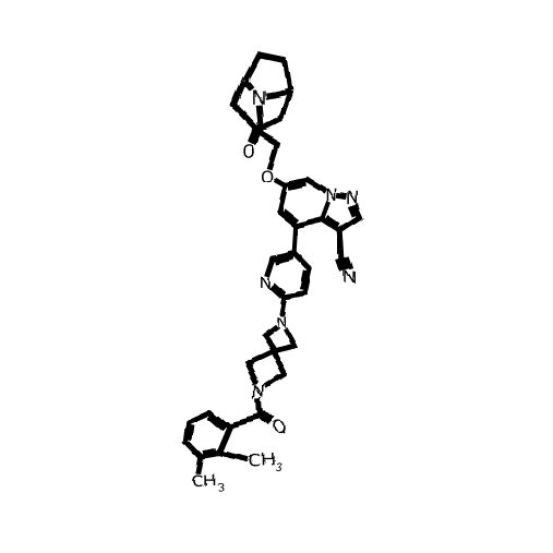 Cc1cccc(C(=O)N2CC3(C2)CN(c2ccc(-c4cc(OCCN5C6CCC5CC(=O)C6)cn5ncc(C#N)c45)cn2)C3)c1C